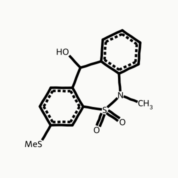 CSc1ccc2c(c1)S(=O)(=O)N(C)c1ccccc1C2O